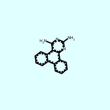 Nc1nc(N)c2c3ccccc3c3ccccc3c2n1